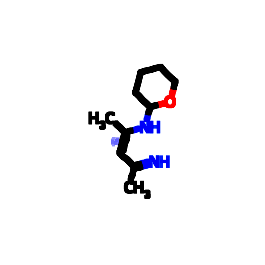 CC(=N)/C=C(/C)NC1CCCCO1